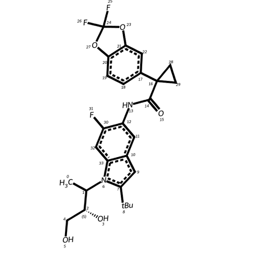 CC([C@H](O)CO)n1c(C(C)(C)C)cc2cc(NC(=O)C3(c4ccc5c(c4)OC(F)(F)O5)CC3)c(F)cc21